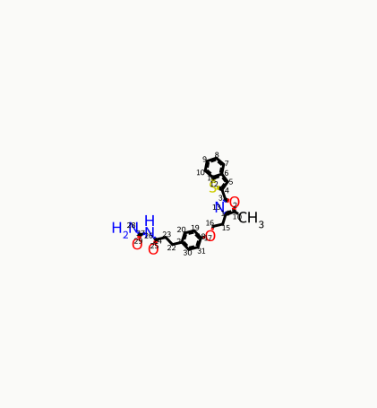 Cc1oc(-c2cc3ccccc3s2)nc1CCOc1ccc(CCC(=O)NC(N)=O)cc1